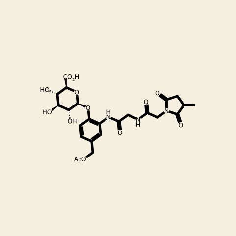 CC(=O)OCc1ccc(O[C@@H]2O[C@H](C(=O)O)[C@@H](O)[C@H](O)[C@H]2O)c(NC(=O)CNC(=O)CN2C(=O)CC(C)C2=O)c1